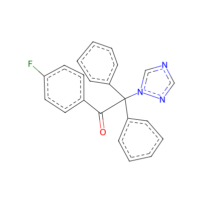 O=C(c1ccc(F)cc1)C(c1ccccc1)(c1ccccc1)n1cncn1